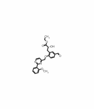 CCOC(=O)[C@H](O)Cc1cc(C=O)ccc1OCc1ccnc(-c2ccccc2OC)n1